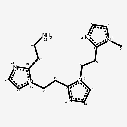 Cn1ccnc1CCn1ccnc1CCn1ccnc1CCN